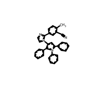 Cc1ccc(-c2nccn2-c2cc(-c3ccccc3)n(-c3ccccc3)c2-c2ccccc2)cc1C#N